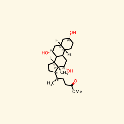 CC[C@]12CC[C@@H](O)C[C@H]1C[C@@H](O)C1C2C[C@H](O)[C@]2(C)[C@@H]([C@H](C)CCC(=O)OC)CC[C@@H]12